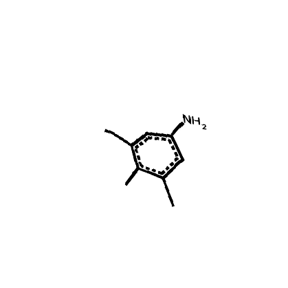 Cc1cc(N)cc(C)c1C